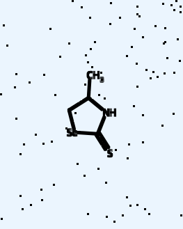 CC1C[Se]C(=S)N1